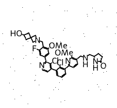 COc1cc(-c2nccc(-c3cccc(-c4ccc(CNCC5CCC(=O)N5)c(OC)n4)c3Cl)c2Cl)cc(F)c1CN1CC2(CC(O)C2)C1